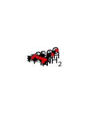 COC/C=C(\C)C(=O)NCCOc1c(N)ncnc1-c1cc(F)cc(NC(=O)c2ccc(C3CC3)cc2F)c1C